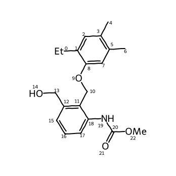 CCc1cc(C)c(C)cc1OCc1c(CO)cccc1NC(=O)OC